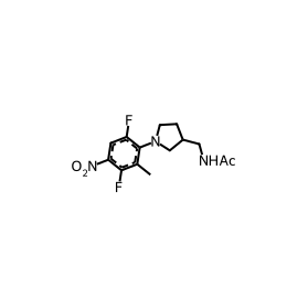 CC(=O)NCC1CCN(c2c(F)cc([N+](=O)[O-])c(F)c2C)C1